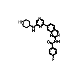 O=C(Nc1ncc2ccc(-c3cncc(NC4CCNCC4)n3)cc2n1)c1ccc(F)cc1